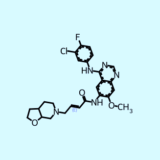 COc1cc2ncnc(Nc3ccc(F)c(Cl)c3)c2cc1NC(=O)/C=C/CN1CCC2CCOC2C1